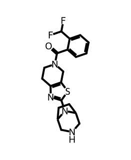 O=C(c1ccccc1C(F)F)N1CCc2nc(N3C4CCC3CNC4)sc2C1